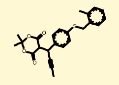 CC#CC(c1ccc(SCc2ccccc2C)cc1)C1C(=O)OC(C)(C)OC1=O